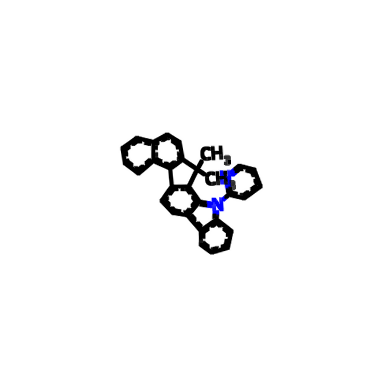 CC1(C)c2ccc3ccccc3c2-c2ccc3c4ccccc4n(-c4ccccn4)c3c21